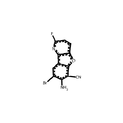 N#Cc1c(N)c(Br)cc2c1oc1ccc(F)nc12